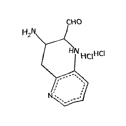 Cl.Cl.NC1Cc2ncccc2NC1C=O